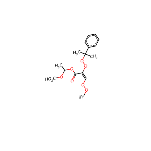 CC(C)OOC=C(OOC(C)(C)c1ccccc1)C(=O)OC(C)OC(=O)O